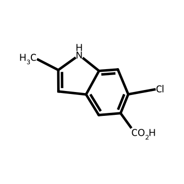 Cc1cc2cc(C(=O)O)c(Cl)cc2[nH]1